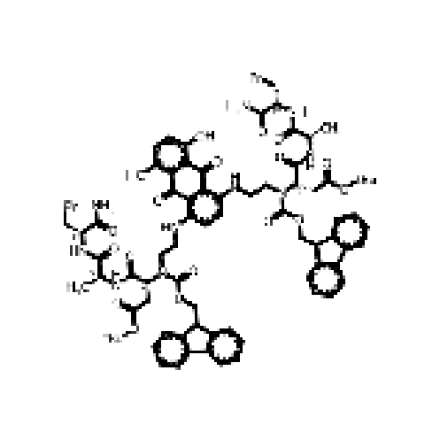 CC(C)C[C@H](NC(=O)[C@H](C)NC(=O)[C@H](CC(=O)OC(C)(C)C)N(CCNc1ccc(NCCN(C(=O)OCC2c3ccccc3-c3ccccc32)[C@@H](CC(=O)OC(C)(C)C)C(=O)N[C@@H](C)C(=O)N[C@@H](CC(C)C)C(N)=O)c2c1C(=O)c1c(O)ccc(O)c1C2=O)C(=O)OCC1c2ccccc2-c2ccccc21)C(N)=O